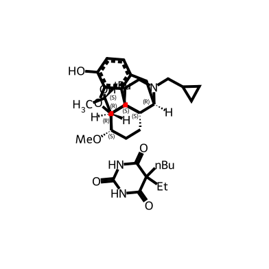 CCCCC1(CC)C(=O)NC(=O)NC1=O.CO[C@@]12CC[C@@]3(C[C@@H]1[C@](C)(O)C(C)(C)C)[C@H]1Cc4ccc(O)c5c4[C@@]3(CCN1CC1CC1)[C@H]2O5